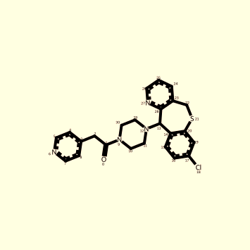 O=C(Cc1ccncc1)N1CCN(C2c3ccc(Cl)cc3SCc3cccnc32)CC1